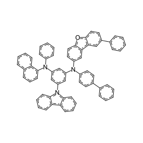 c1ccc(-c2ccc(N(c3cc(N(c4ccccc4)c4cccc5ccccc45)cc(-n4c5ccccc5c5ccccc54)c3)c3ccc4oc5ccc(-c6ccccc6)cc5c4c3)cc2)cc1